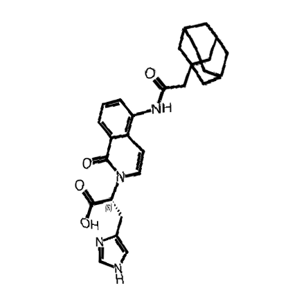 O=C(CC12CC3CC(CC(C3)C1)C2)Nc1cccc2c(=O)n([C@H](Cc3c[nH]cn3)C(=O)O)ccc12